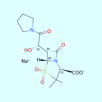 CC1(C)[C@H](C(=O)[O-])N2C(=O)[C@@H]([C@H](O)C(=O)N3CCCC3)[C@H]2S1(=O)=O.[Na+]